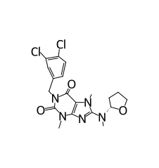 CN(c1nc2c(c(=O)n(Cc3ccc(Cl)c(Cl)c3)c(=O)n2C)n1C)[C@@H]1CCCO1